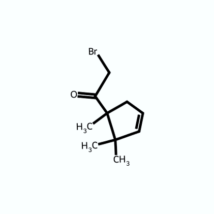 CC1(C)C=CCC1(C)C(=O)CBr